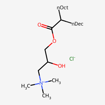 CCCCCCCCCCC(CCCCCCCC)C(=O)OCC(O)C[N+](C)(C)C.[Cl-]